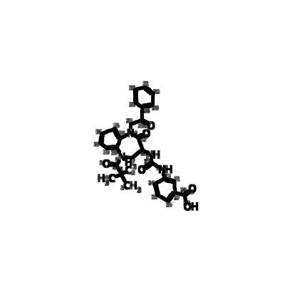 CC(C)(C)C(=O)N1CC(NC(=O)Nc2cccc(C(=O)O)c2)C(=O)N(CC(=O)c2ccccc2)c2ccccc21